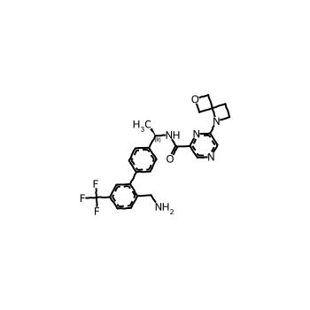 C[C@@H](NC(=O)c1cncc(N2CCC23COC3)n1)c1ccc(-c2cc(C(F)(F)F)ccc2CN)cc1